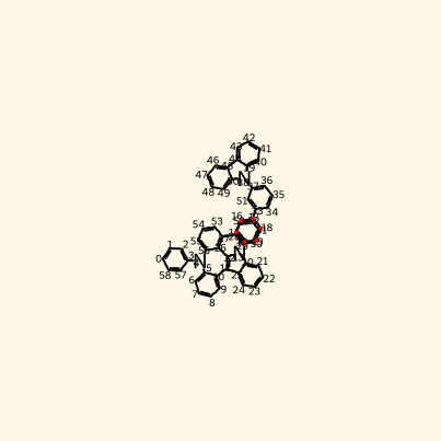 c1ccc(N2c3ccccc3-c3c(n(-c4ccccc4)c4ccccc34)-c3c(-c4cccc(-c5cccc(-n6c7ccccc7c7ccccc76)c5)c4)cccc32)cc1